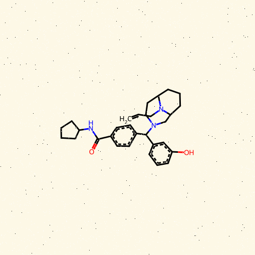 C=CCN1C2CCCC1CN(C(c1ccc(C(=O)NC3CCCC3)cc1)c1cccc(O)c1)CC2